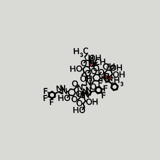 CCC[C@H](OC1C(NC(C)=O)[C@H](O[C@@H]2CC(C(=O)NCCNC(=O)C3CC(n4cc(-c5cc(F)c(F)c(F)c5)nn4)C(O)[C@H](O[C@@H]4OC(CO)[C@H](O)C(n5cc(-c6cc(F)c(F)c(F)c6)nn5)C4O)C3)CC(n3cc(-c4ccccc4)nn3)C2O[C@@H]2OC(C)[C@@H](O)C(O)C2O)OC(CO)[C@@H]1O)C(=O)O